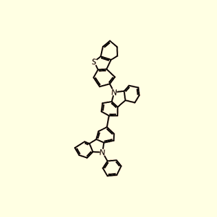 C1=CCC2C(=C1)N(c1ccc3sc4c(c3c1)CCC=C4)c1ccc(-c3ccc4c(c3)c3ccccc3n4-c3ccccc3)cc12